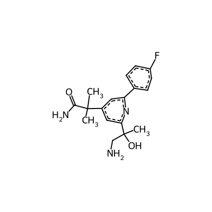 CC(O)(CN)c1cc(C(C)(C)C(N)=O)cc(-c2ccc(F)cc2)n1